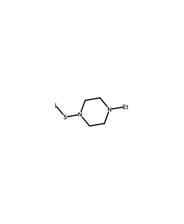 CCN1CCN(SI)CC1